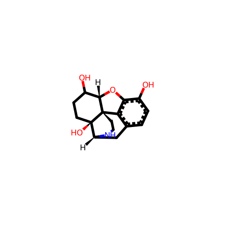 Oc1ccc2c3c1O[C@H]1C(O)CC[C@@]4(O)[C@@H](C2)NCC[C@]314